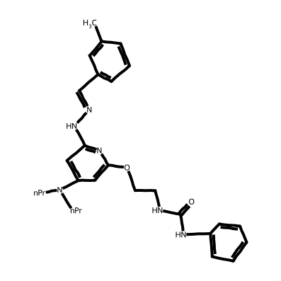 CCCN(CCC)c1cc(N/N=C/c2cccc(C)c2)nc(OCCNC(=O)Nc2ccccc2)c1